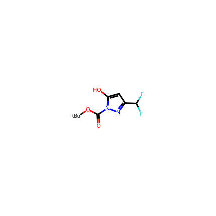 CC(C)(C)OC(=O)n1nc(C(F)F)cc1O